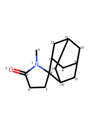 CN1C(=O)CCC12C1CC3CC(C1)CC2C3